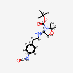 CC(C)(C)OC(=O)N1C(NCCc2ccc(N=C=O)cc2)COC1(C)C